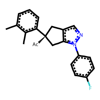 CC(=O)[C@@]1(c2cccc(C)c2C)Cc2cnn(-c3ccc(F)cc3)c2C1